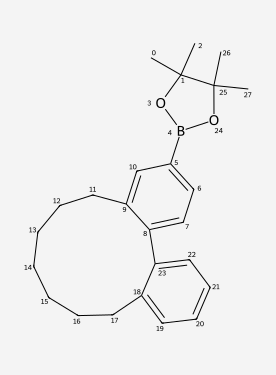 CC1(C)OB(c2ccc3c(c2)CCCCCCCc2ccccc2-3)OC1(C)C